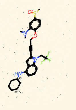 C[C@@H]1CCC[C@@H](Nc2cccc3c2cc(C#CCOc2ccc([S+](C)[O-])cc2N(C)C)n3CC(F)(F)F)C1